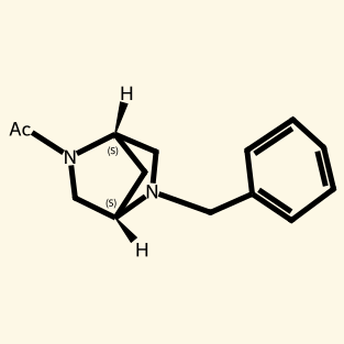 CC(=O)N1C[C@@H]2C[C@H]1CN2Cc1ccccc1